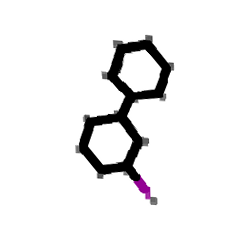 IC1CCCC(C2CCCCC2)C1